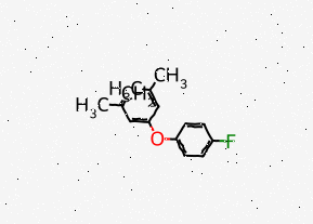 C=C(C)/C=C(\C=C(C)C)Oc1ccc(F)cc1